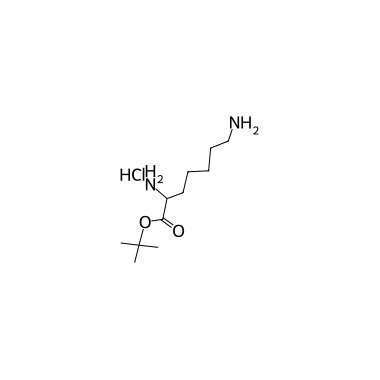 CC(C)(C)OC(=O)C(N)CCCCCN.Cl